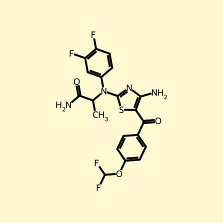 CC(C(N)=O)N(c1ccc(F)c(F)c1)c1nc(N)c(C(=O)c2ccc(OC(F)F)cc2)s1